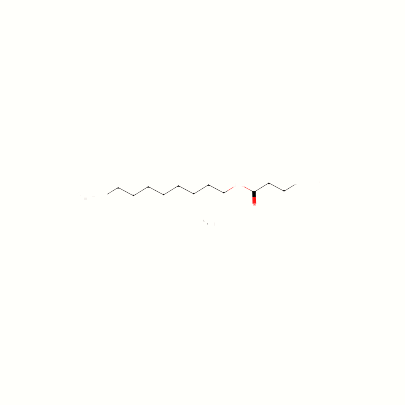 CCCCCCCCCCCCCCCCCCOC(=O)CCC(=O)[O-].[Na+]